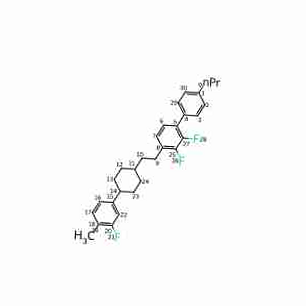 CCCc1ccc(-c2ccc(CCC3CCC(c4ccc(C)c(F)c4)CC3)c(F)c2F)cc1